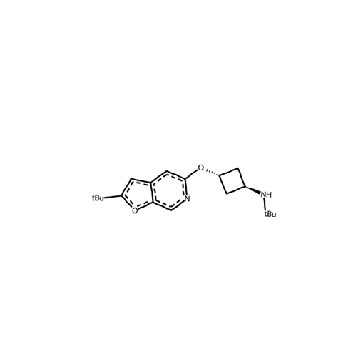 CC(C)(C)N[C@H]1C[C@H](Oc2cc3cc(C(C)(C)C)oc3cn2)C1